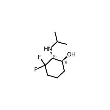 CC(C)N[C@@H]1[C@@H](O)CCCC1(F)F